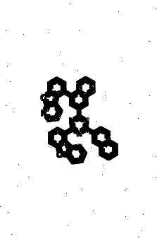 c1ccc2cc(-c3nc(-c4cc(-c5cccc6oc7ncccc7c56)c5ccccc5c4)nc(-c4cccc5oc6ccccc6c45)n3)ccc2c1